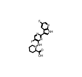 O=C(O)C1CCCCN1Nc1nc(-c2c[nH]c3ncc(F)cc23)ncc1F